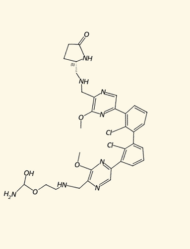 COc1nc(-c2cccc(-c3cccc(-c4cnc(CNC[C@@H]5CCC(=O)N5)c(OC)n4)c3Cl)c2Cl)cnc1CNCCOC(N)O